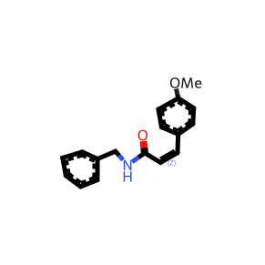 COc1ccc(/C=C\C(=O)NCc2ccccc2)cc1